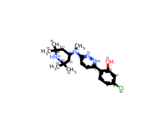 CN(c1ccc(-c2ccc(Cl)cc2O)nn1)C1CC(C)(C)NC(C)(C)C1